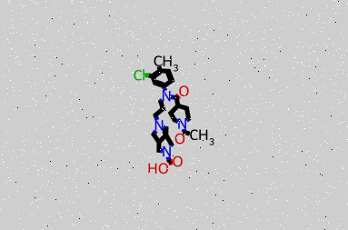 CC(=O)N1CCC(C(=O)N(CCCN2C=C3CN(C(=O)O)CC3C2)c2ccc(C)c(Cl)c2)CC1